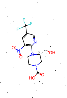 O=C(O)N1CCN(c2ncc(C(F)(F)F)cc2[N+](=O)[O-])[C@H](CO)C1